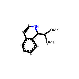 COC(OC)C1NC=Cc2ccccc21